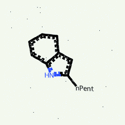 [CH2]CCCCc1cc2ccccc2[nH]1